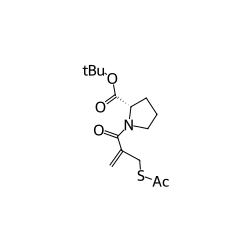 C=C(CSC(C)=O)C(=O)N1CCC[C@H]1C(=O)OC(C)(C)C